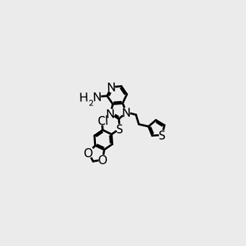 Nc1nccc2c1nc(Sc1cc3c(cc1Cl)OCO3)n2CCc1ccsc1